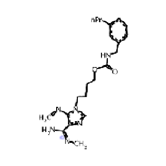 C=Nc1c(/C(N)=N\C)ncn1CCCCOC(=O)NCc1cccc(CCC)c1